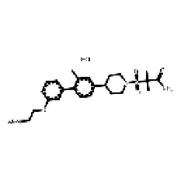 CNCCOc1cccc(-c2ccc(C3CCN(S(=O)(=O)C(C)(C)C(N)=O)CC3)cc2C)c1.Cl